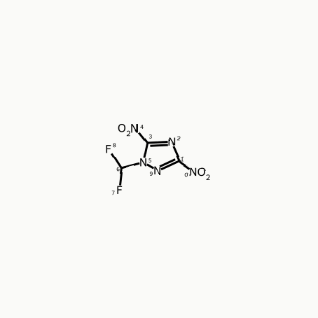 O=[N+]([O-])c1nc([N+](=O)[O-])n(C(F)F)n1